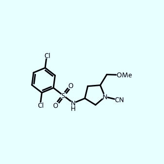 COCC1CC(NS(=O)(=O)c2cc(Cl)ccc2Cl)CN1C#N